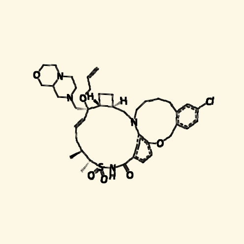 C=CCO[C@]1(CN2CCN3CCOCC3C2)/C=C/C[C@H](C)[C@@H](C)S(=O)(=O)NC(=O)c2ccc3c(c2)N(CCCCc2cc(Cl)ccc2CO3)C[C@@H]2CC[C@H]21